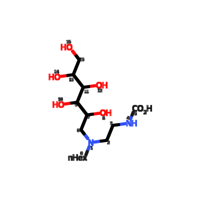 CCCCCCN(CCNC(=O)O)CC(O)C(O)C(O)C(O)CO